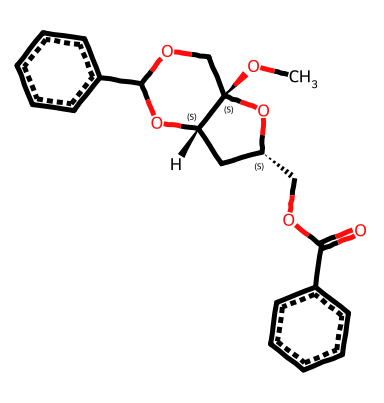 CO[C@]12COC(c3ccccc3)O[C@H]1C[C@@H](COC(=O)c1ccccc1)O2